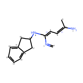 C=N/C(=C\C=C(/C)N)NC1Cc2ccccc2C1